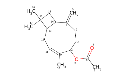 C=C1CCC(OC(C)=O)/C(C)=C\CC2C1CC2(C)C